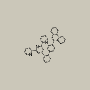 c1ccc(-c2cc(-c3ccccc3-c3ccc(-c4cc5ccccc5c5ccccc45)cc3)cc(-c3ccccn3)n2)nc1